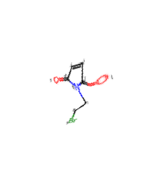 O=C1C=CC(=O)N1CCBr